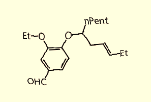 CCC=CCC(CCCCC)Oc1ccc(C=O)cc1OCC